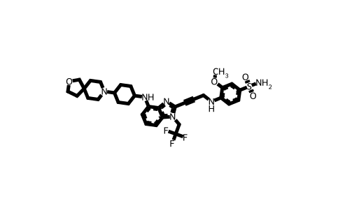 COc1cc(S(N)(=O)=O)ccc1NCC#Cc1nc2c(NC3CCC(N4CCC5(CCOC5)CC4)CC3)cccc2n1CC(F)(F)F